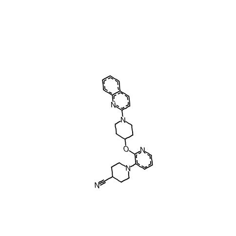 N#CC1CCN(c2cccnc2OC2CCN(c3ccc4ccccc4n3)CC2)CC1